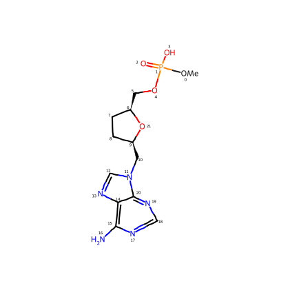 COP(=O)(O)OC[C@@H]1CC[C@H](Cn2cnc3c(N)ncnc32)O1